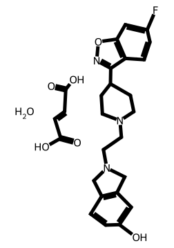 O.O=C(O)/C=C/C(=O)O.Oc1ccc2c(c1)CN(CCN1CCC(c3noc4cc(F)ccc34)CC1)C2